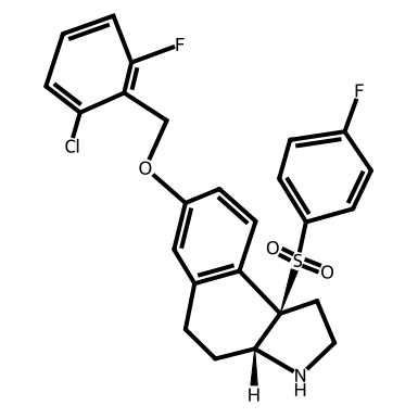 O=S(=O)(c1ccc(F)cc1)[C@@]12CCN[C@@H]1CCc1cc(OCc3c(F)cccc3Cl)ccc12